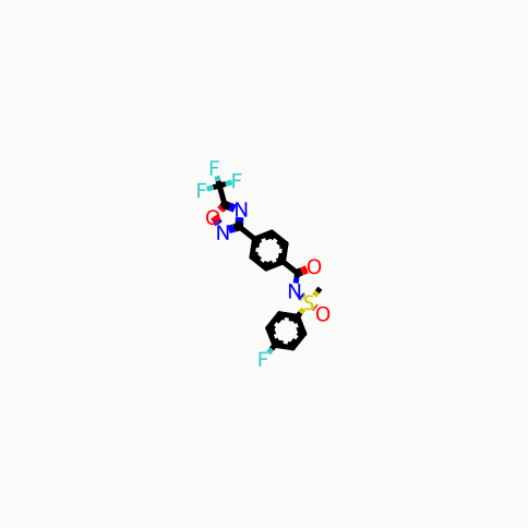 CS(=O)(=NC(=O)c1ccc(-c2noc(C(F)(F)F)n2)cc1)c1ccc(F)cc1